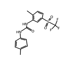 Cc1ccc(NC(=O)Nc2cc(S(=O)(=O)C(F)(F)F)ccc2C)cc1